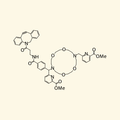 COC(=O)c1cccc(CN2CCOCCOCCN(C(c3ccc(C(=O)NCCC(=O)N4Cc5ccccc5C#Cc5ccccc54)cc3)c3cccc(C(=O)OC)n3)CCOCCOCC2)n1